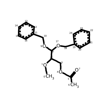 COC(COC(C)=O)C(OCc1ccccc1)OCc1ccccc1